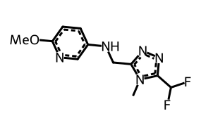 COc1ccc(NCc2nnc(C(F)F)n2C)cn1